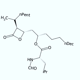 CCCCCCCCCCCCC[C@@H](C[C@@H]1OC(=O)[C@H]1C(C)CCCCC)OC(=O)[C@H](CC(C)C)NC=O